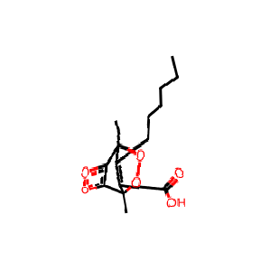 CCCCCCC1=C(C(=O)O)C2(C)OOC1(C)c1ooc12